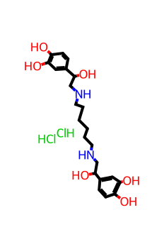 Cl.Cl.Oc1ccc(C(O)CNCCCCCCNCC(O)c2ccc(O)c(O)c2)cc1O